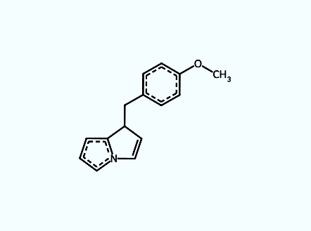 COc1ccc(CC2C=Cn3cccc32)cc1